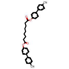 N#Cc1ccc(-c2ccc(OC(=O)CCCCCCCC(=O)Oc3ccc(-c4ccc(C#N)cc4)cc3)cc2)cc1